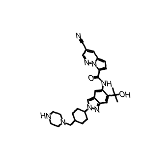 CC(C)(O)c1cc2nn(C3CCC(CN4CCNCC4)CC3)cc2cc1NC(=O)c1ccc2cc(C#N)cnn12